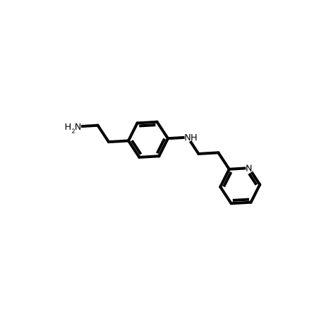 NCCc1ccc(NCCc2ccccn2)cc1